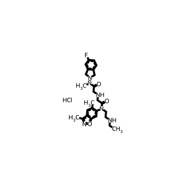 CCNCCN(C(=O)CNCC(=O)N(C)N1Cc2ccc(F)cc2C1)c1cc2onc(C)c2cc1C.Cl